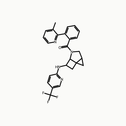 Cc1cccnc1-c1ccccc1C(=O)N1CC2CC23CC(Nc2ccc(C(F)(F)F)cn2)C13